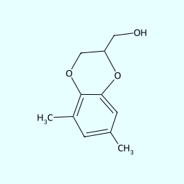 Cc1cc(C)c2c(c1)OC(CO)CO2